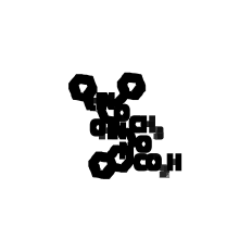 C[C@H](NCC(=O)[C@H](Cc1ccccc1)NC(=O)c1ccccc1)C(=O)N1Cc2ccccc2C[C@H]1C(=O)O